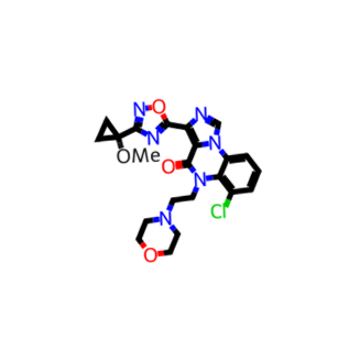 COC1(c2noc(-c3ncn4c3c(=O)n(CCN3CCOCC3)c3c(Cl)cccc34)n2)CC1